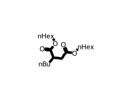 CCCCCCOC(=O)CC(CCCC)C(=O)OCCCCCC